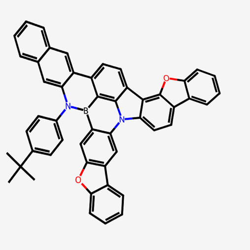 CC(C)(C)c1ccc(N2B3c4cc5oc6ccccc6c5cc4-n4c5ccc6c7ccccc7oc6c5c5ccc(c3c54)-c3cc4ccccc4cc32)cc1